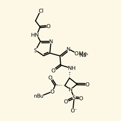 CCCCOC(=O)[C@@H]1[C@H](NC(=O)C(=NOC)c2csc(NC(=O)CCl)n2)C(=O)N1S(=O)(=O)[O-].[Na+]